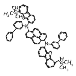 C[SiH](C)Cc1cccc2c1oc1c(N(c3cccc(-c4ccccc4)c3)c3ccc4ccc5c(N(c6cccc(-c7ccccc7)c6)c6cccc7c6oc6c([Si](C)(C)C)cccc67)ccc6ccc3c4c65)cccc12